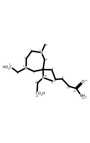 CN1CCN(CC(=O)O)CC(CCCCC(N)=O)(N(C)CC(=O)O)C1